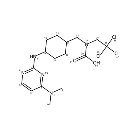 CN(C)c1ccnc(NC2CCC(CN(CC(Cl)(Cl)Cl)C(=O)O)CC2)n1